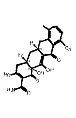 Cc1ccc(O)c2c1C[C@H]1C[C@H]3CC(O)=C(C(N)=O)C(=O)[C@@]3(O)C(O)=C1C2=O